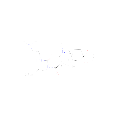 CCN(CC)CCNC(=O)N(CCOC)C(=O)[C@@H]1C[C@@H]2CC3(CC[C@H]2N(C)C1)OCCO3